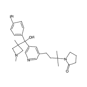 CC(C)c1ccc(C(O)(c2cncc(CCC(C)(C)N3CCCC3=O)c2)C2(C)CN(C)C2)cc1